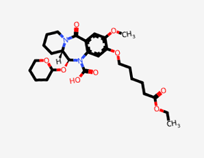 CCOC(=O)CCCCCOc1cc2c(cc1OC)C(=O)N1CCCC[C@H]1[C@H](OC1CCCCO1)N2C(=O)O